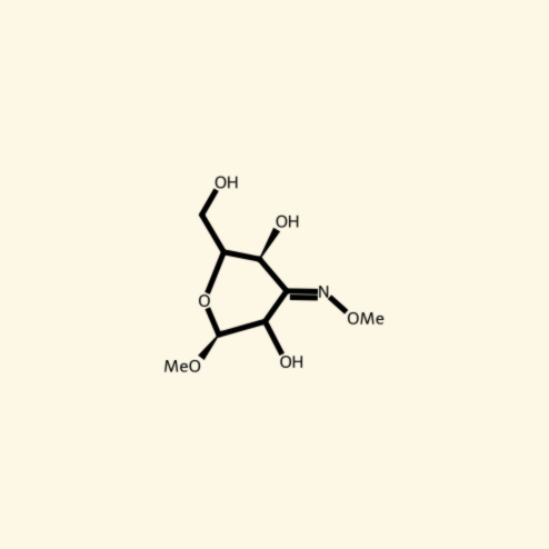 CO/N=C1\C(O)[C@@H](OC)OC(CO)[C@H]1O